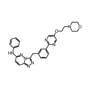 c1ccc(Nc2ccc3nnc(Cc4cccc(-c5ncc(OCCN6CCOCC6)cn5)c4)n3n2)cc1